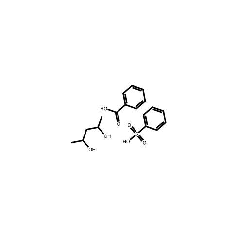 CC(O)CC(C)O.O=C(O)c1ccccc1.O=S(=O)(O)c1ccccc1